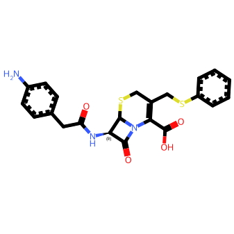 Nc1ccc(CC(=O)N[C@@H]2C(=O)N3C(C(=O)O)=C(CSc4ccccc4)CSC23)cc1